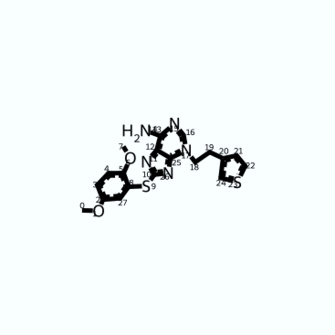 COc1ccc(OC)c(Sc2nc3c(N)ncn(CCc4ccsc4)c-3n2)c1